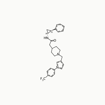 O=C(CC1CCN(Cc2ccn(-c3ccc(C(F)(F)F)cc3)c2)CC1)N[C@@H]1C[C@H]1c1ccccc1